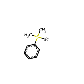 CC(C)S(C)(C)c1ccccc1